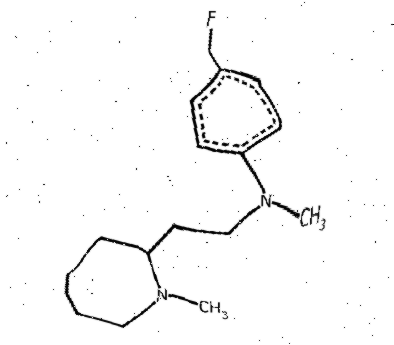 CN(CCC1CCCCN1C)c1ccc(F)cc1